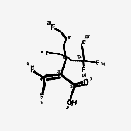 O=C(O)C(=C(F)F)C(F)(CF)C(F)(F)F